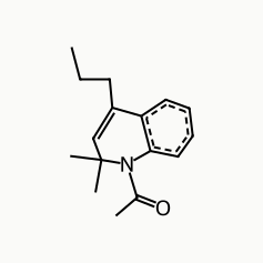 CCCC1=CC(C)(C)N(C(C)=O)c2ccccc21